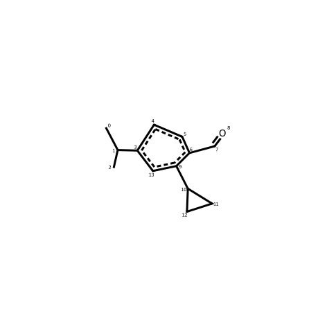 CC(C)c1ccc(C=O)c(C2CC2)c1